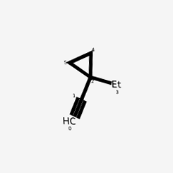 C#CC1(CC)CC1